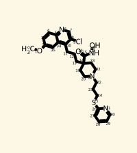 COc1ccc2ncc(Cl)c(CCCC3(C(=O)NO)CCN(CCCSc4ccccn4)CC3)c2c1